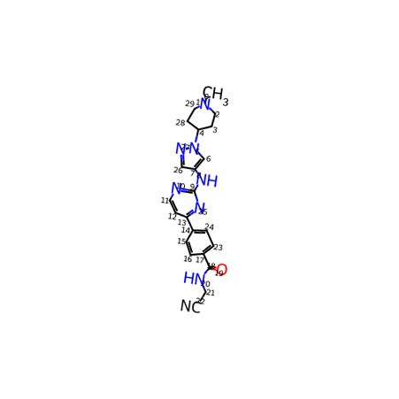 CN1CCC(n2cc(Nc3nccc(-c4ccc(C(=O)NCC#N)cc4)n3)cn2)CC1